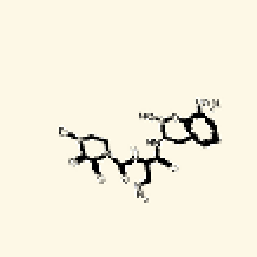 CCN1CCN(C(=O)NC(CN)C(=O)N[C@H]2Cc3cccc(C(=O)O)c3OB2O)C(=O)C1=O